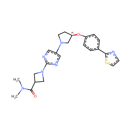 CN(C)C(=O)C1CN(c2ncc(N3CC[C@@H](Oc4ccc(-c5nccs5)cc4)C3)cn2)C1